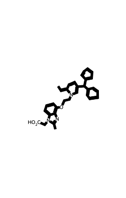 C/C=C1\C=CC(C(c2ccccc2)c2ccccc2)=CN1CCOc1cccc2c1nc(C)n2CC(=O)O